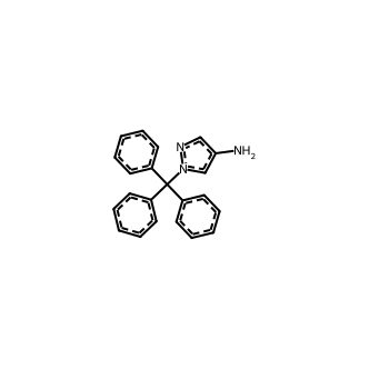 Nc1cnn(C(c2ccccc2)(c2ccccc2)c2ccccc2)c1